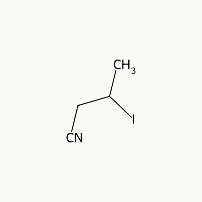 CC(I)CC#N